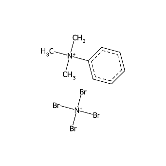 Br[N+](Br)(Br)Br.C[N+](C)(C)c1ccccc1